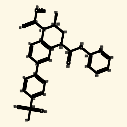 COC(=O)N1c2ccc(-c3ccc(S(C)(=O)=O)cc3)cc2N(C(=O)Oc2ccccn2)C[C@@H]1C